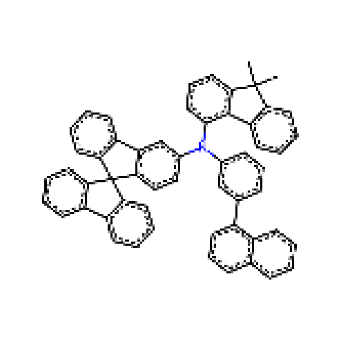 CC1(C)c2ccccc2-c2c(N(c3cccc(-c4cccc5ccccc45)c3)c3ccc4c(c3)-c3ccccc3C43c4ccccc4-c4ccccc43)cccc21